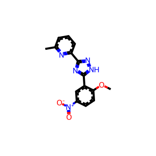 COc1ccc([N+](=O)[O-])cc1-c1nc(-c2cccc(C)n2)n[nH]1